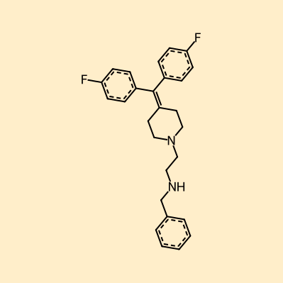 Fc1ccc(C(=C2CCN(CCNCc3ccccc3)CC2)c2ccc(F)cc2)cc1